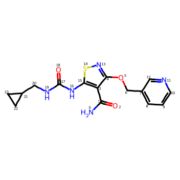 NC(=O)c1c(OCc2cccnc2)nsc1NC(=O)NCC1CC1